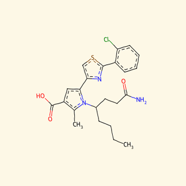 CCCCC(CCC(N)=O)n1c(-c2csc(-c3ccccc3Cl)n2)cc(C(=O)O)c1C